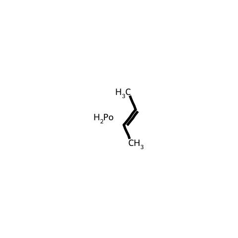 CC=CC.[PoH2]